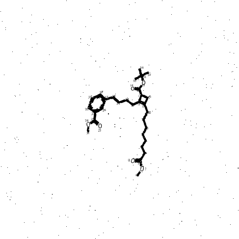 COC(=O)CCCCCCCC1=C(CCCCc2cccc(C(=O)OC)c2)C(C(=O)OC(C)(C)C)C1